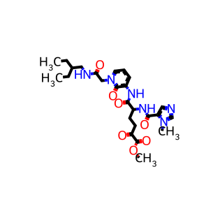 CCC(CC)CNC(=O)Cn1cccc(NC(=O)C(CCC(=O)C(=O)OC)NC(=O)c2cncn2C)c1=O